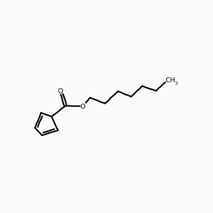 CCCCCCCOC(=O)C1C=CC=C1